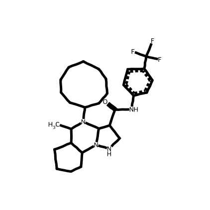 CC1C2CCCCC2N2NCC(C(=O)Nc3ccc(C(F)(F)F)cc3)C2N1C1CCCCCCCCC1